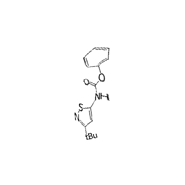 CC(C)(C)c1cc(NC(=O)Oc2ccccc2)sn1